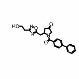 O=C1CC(Cc2nc(CCO)no2)N(C(=O)c2ccc(-c3ccccc3)cc2)C1